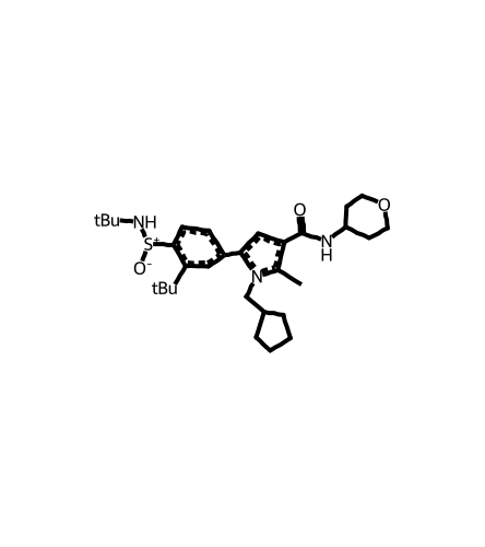 Cc1c(C(=O)NC2CCOCC2)cc(-c2ccc([S+]([O-])NC(C)(C)C)c(C(C)(C)C)c2)n1CC1CCCC1